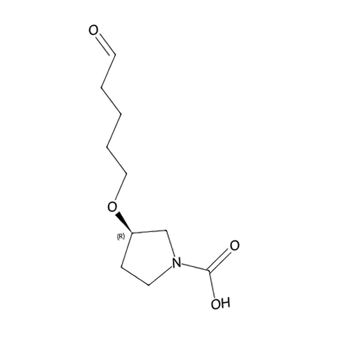 O=CCCCCO[C@@H]1CCN(C(=O)O)C1